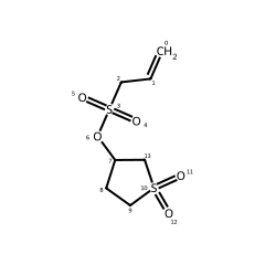 C=CCS(=O)(=O)OC1CCS(=O)(=O)C1